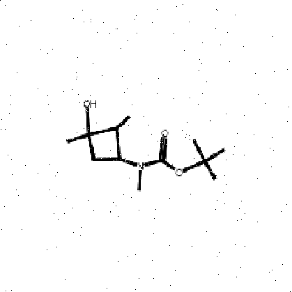 CC1C(N(C)C(=O)OC(C)(C)C)CC1(C)O